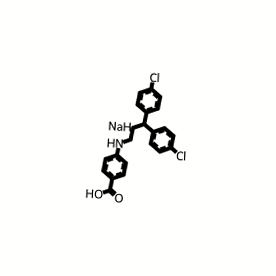 O=C(O)c1ccc(NCCC(c2ccc(Cl)cc2)c2ccc(Cl)cc2)cc1.[NaH]